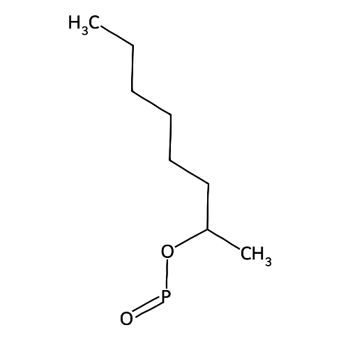 CCCCCCC(C)OP=O